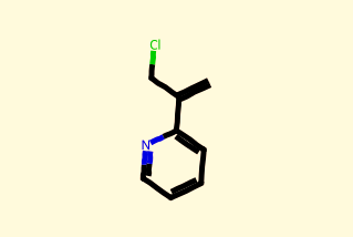 C=C(CCl)c1ccccn1